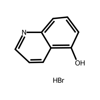 Br.Oc1cccc2ncccc12